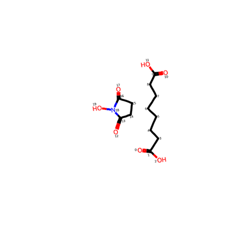 O=C(O)CCCCCCC(=O)O.O=C1CCC(=O)N1O